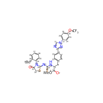 COC(=O)C(Cc1ccc(-c2ncn(-c3ccc(OC(F)(F)F)cc3)n2)cc1)NC(=S)/N=C1\SCC(=O)N1c1ccccc1C(C)(C)C